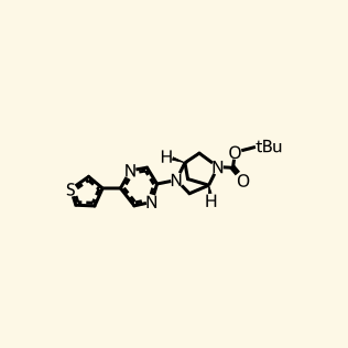 CC(C)(C)OC(=O)N1C[C@@H]2C[C@H]1CN2c1cnc(-c2ccsc2)cn1